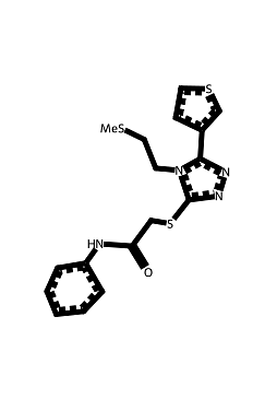 CSCCn1c(SCC(=O)Nc2ccccc2)nnc1-c1ccsc1